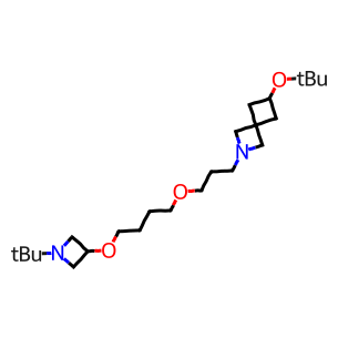 CC(C)(C)OC1CC2(C1)CN(CCCOCCCCOC1CN(C(C)(C)C)C1)C2